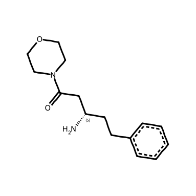 N[C@@H](CCc1ccccc1)CC(=O)N1CCOCC1